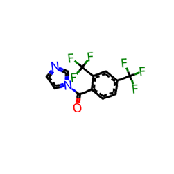 O=C(c1ccc(C(F)(F)F)cc1C(F)(F)F)n1ccnc1